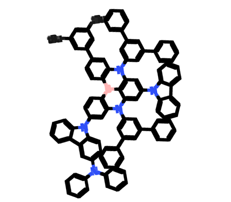 CC(C)(C)c1cc(-c2ccc3c(c2)N(c2cc(-c4ccccc4)cc(-c4ccccc4)c2)c2cc(-n4c5ccccc5c5ccccc54)cc4c2B3c2ccc(-n3c5ccccc5c5cc(N(c6ccccc6)c6ccccc6)ccc53)cc2N4c2cc(-c3ccccc3)cc(-c3ccccc3)c2)cc(C(C)(C)C)c1